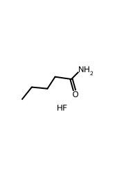 CCCCC(N)=O.F